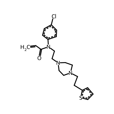 C=CC(=O)N(CCN1CCN(CCc2cccs2)CC1)c1ccc(Cl)cc1